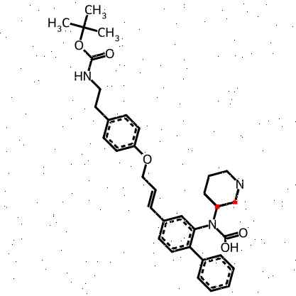 CC(C)(C)OC(=O)NCCc1ccc(OCC=Cc2ccc(-c3ccccc3)c(N(C(=O)O)C3CN4CCC3CC4)c2)cc1